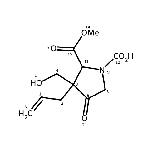 C=CCC1(CO)C(=O)CN(C(=O)O)C1C(=O)OC